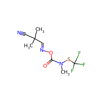 CN(SC(F)(F)F)C(=O)O/N=C/C(C)(C)C#N